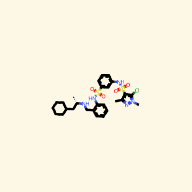 Cc1nn(C)c(Cl)c1S(=O)(=O)Nc1cccc(S(=O)(=O)Nc2ccccc2CN[C@@H](C)CC2CCCCC2)c1